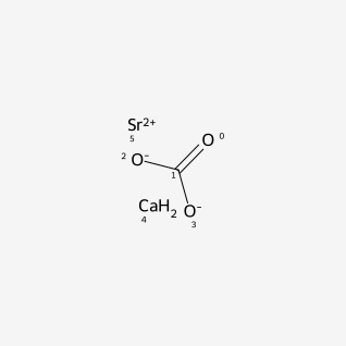 O=C([O-])[O-].[CaH2].[Sr+2]